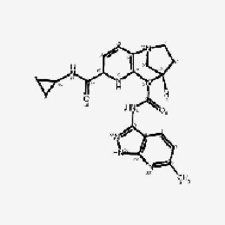 Cc1ccc2c(NC(=O)N3C4=C(C=CC(C(=O)NC5CC5)N4)N4CC[C@H]3C4)n[nH]c2n1